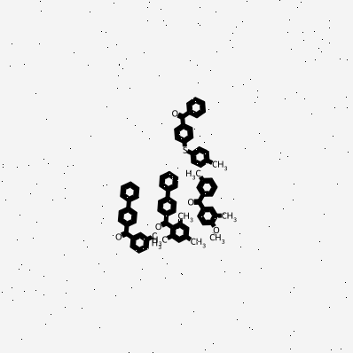 COc1ccc(C(=O)c2cccc(C)c2)cc1C.Cc1cc(C)c(C(=O)c2ccc(-c3ccccc3)cc2)c(C)c1.Cc1ccc(Sc2ccc(C(=O)c3ccccc3)cc2)cc1.Cc1cccc(C(=O)c2ccc(-c3ccccc3)cc2)c1